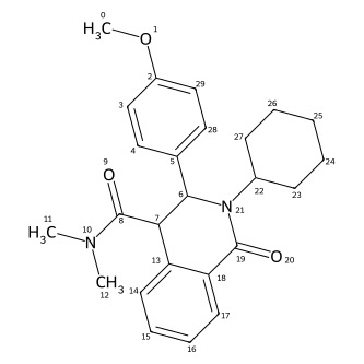 COc1ccc(C2C(C(=O)N(C)C)c3ccccc3C(=O)N2C2CCCCC2)cc1